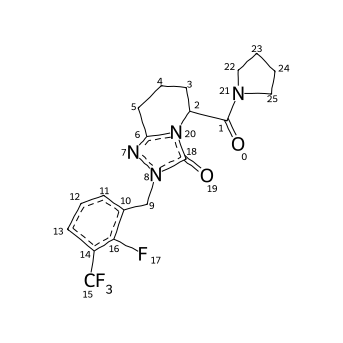 O=C(C1CCCc2nn(Cc3cccc(C(F)(F)F)c3F)c(=O)n21)N1CCCC1